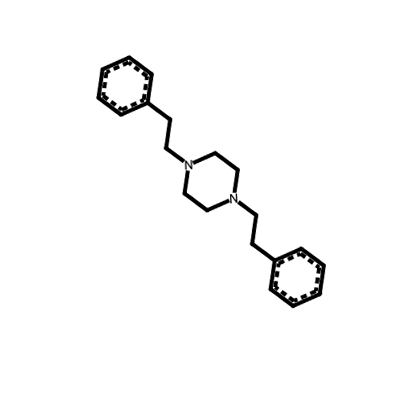 c1ccc(CCN2CCN(CCc3ccccc3)CC2)cc1